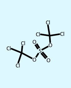 O=S(=O)(OC(Cl)(Cl)Cl)OC(Cl)(Cl)Cl